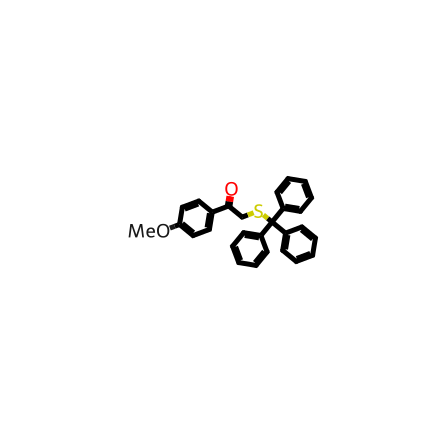 COc1ccc(C(=O)CSC(c2ccccc2)(c2ccccc2)c2ccccc2)cc1